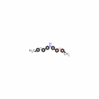 C=Cc1ccc(Oc2cccc(-c3ccc(Nc4ccc(-c5cccc(Oc6ccc(C=C)cc6)c5)cc4)cc3)c2)cc1